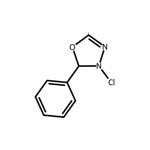 ClN1N=[C]OC1c1ccccc1